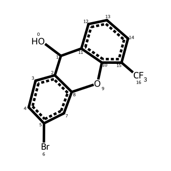 OC1c2ccc(Br)cc2Oc2c1cccc2C(F)(F)F